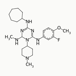 CNC1N=C(NC2CCCCCC2)N=C(Nc2ccc(OC)c(F)c2)N1C1CCN(C)CC1